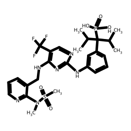 CC(C)C(c1cccc(Nc2ncc(C(F)(F)F)c(NCc3cccnc3N(C)S(C)(=O)=O)n2)c1)(C(C)C)P(=O)(O)O